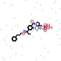 CC/C(=N\OCCCc1ccccc1)c1ccc(C(=O)N2CCC(N)(COP(=O)(O)O)C2)cc1